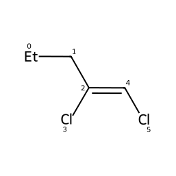 [CH2]CCC(Cl)=CCl